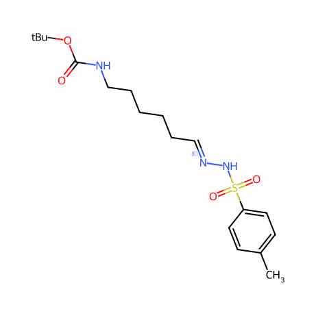 Cc1ccc(S(=O)(=O)N/N=C/CCCCCNC(=O)OC(C)(C)C)cc1